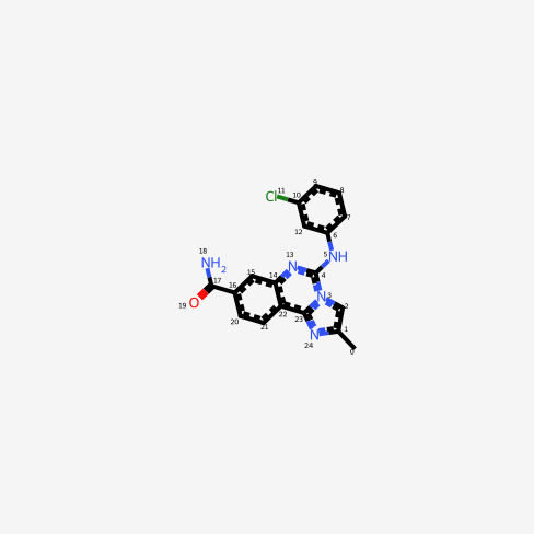 Cc1cn2c(Nc3cccc(Cl)c3)nc3cc(C(N)=O)ccc3c2n1